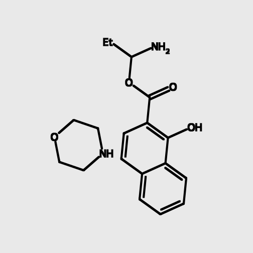 C1COCCN1.CCC(N)OC(=O)c1ccc2ccccc2c1O